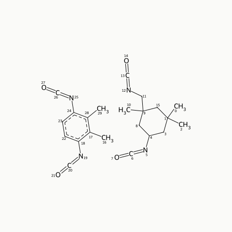 CC1(C)CC(N=C=O)CC(C)(CN=C=O)C1.Cc1c(N=C=O)ccc(N=C=O)c1C